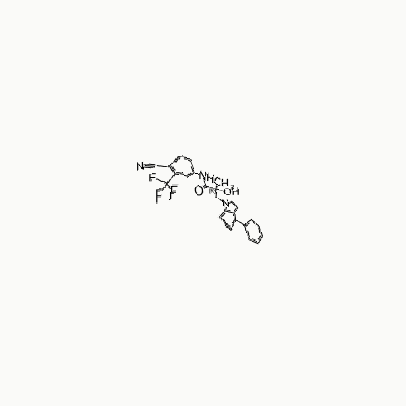 C[C@@](O)(Cn1ccc2c(-c3ccccc3)cccc21)C(=O)Nc1ccc(C#N)c(C(F)(F)F)c1